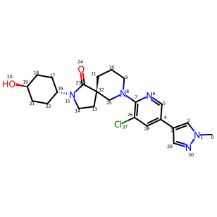 Cn1cc(-c2cnc(N3CCC[C@]4(CCN([C@H]5CC[C@H](O)CC5)C4=O)C3)c(Cl)c2)cn1